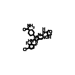 NC(=O)C1CCC(n2c(Nc3c(F)ccc(Cl)c3F)nc3cnc(N[C@H]4COC[C@@H]4O)nc32)CC1